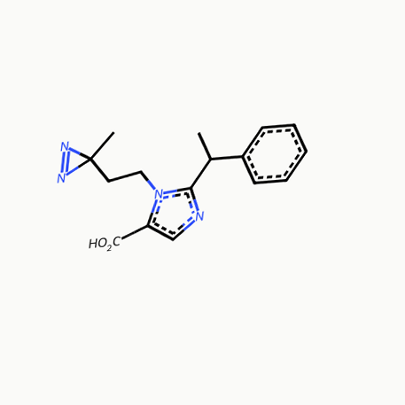 CC(c1ccccc1)c1ncc(C(=O)O)n1CCC1(C)N=N1